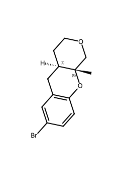 C[C@]12COCC[C@@H]1Cc1cc(Br)ccc1O2